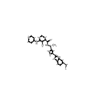 C[C@@H](NC(=O)c1ncnc(Nc2ccncc2)c1Cl)c1cc(-c2nc3ccc(CF)cc3[nH]2)on1